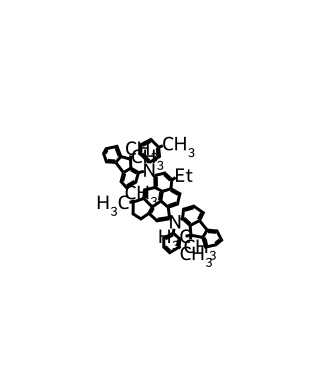 CCc1cc(N(c2cccc(C)c2)c2cccc3c2C(C)(C)c2ccccc2-3)c2cc3c4c(cc(N(c5cccc(C)c5)c5cccc6c5C(C)(C)c5ccccc5-6)c5ccc1c2c54)CCC3(C)C